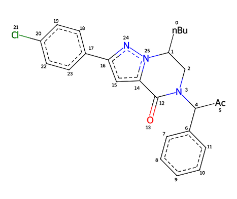 CCCCC1CN(C(C(C)=O)c2ccccc2)C(=O)c2cc(-c3ccc(Cl)cc3)nn21